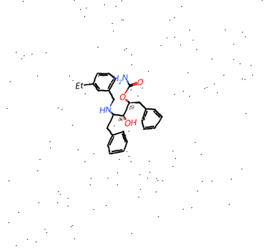 CCc1cccc(CNC(Cc2ccccc2)[C@H](O)[C@H](Cc2ccccc2)OC(N)=O)c1